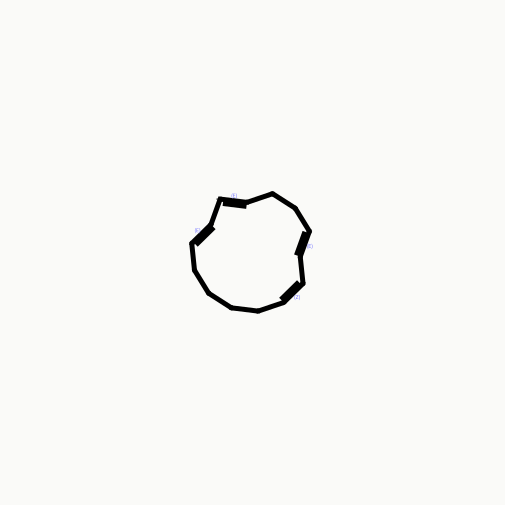 [C]1=C/CC/C=C/C=C\CCCC/C=C/1